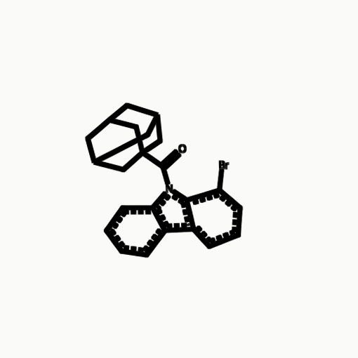 O=C(n1c2ccccc2c2cccc(Br)c21)C12CC3CC(CC(C3)C1)C2